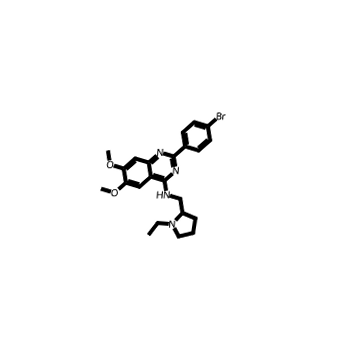 CCN1CCCC1CNc1nc(-c2ccc(Br)cc2)nc2cc(OC)c(OC)cc12